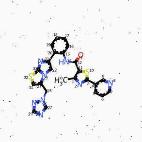 Cc1nc(-c2cccnc2)sc1C(=O)Nc1ccccc1-c1cn2c(Cn3cncn3)csc2n1